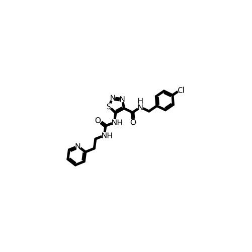 O=C(NCCc1ccccn1)Nc1snnc1C(=O)NCc1ccc(Cl)cc1